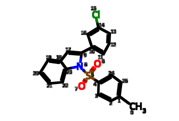 Cc1ccc(S(=O)(=O)n2c(-c3cccc(Cl)c3)cc3ccccc32)cc1